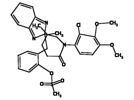 COc1ccc(N(CC2(Cc3ccccc3OS(C)(=O)=O)N=c3ccccc3=N2)C(=O)CCC(C)C)c(Cl)c1OC